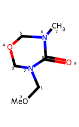 COCN1COCN(C)C1=O